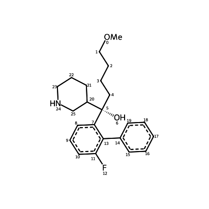 COCCCC[C@@](O)(c1cccc(F)c1-c1ccccc1)C1CCCNC1